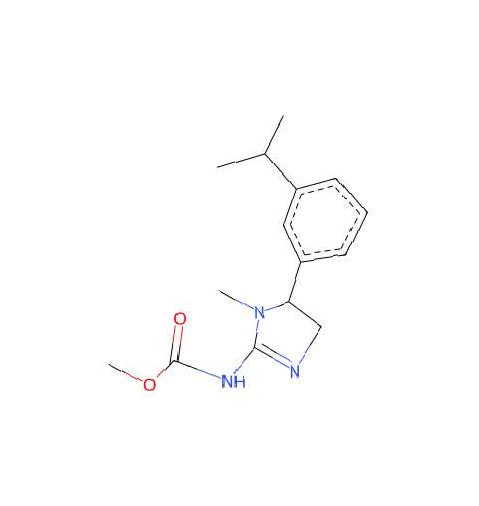 COC(=O)NC1=NCC(c2cccc(C(C)C)c2)N1C